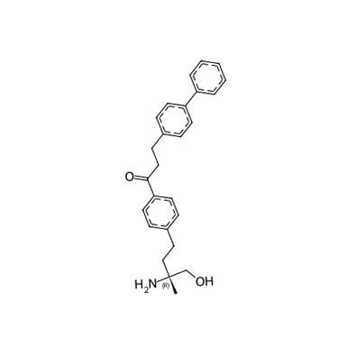 C[C@](N)(CO)CCc1ccc(C(=O)CCc2ccc(-c3ccccc3)cc2)cc1